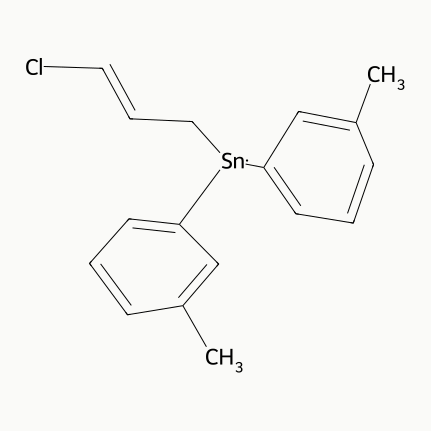 Cc1ccc[c]([Sn]([CH2]C=CCl)[c]2cccc(C)c2)c1